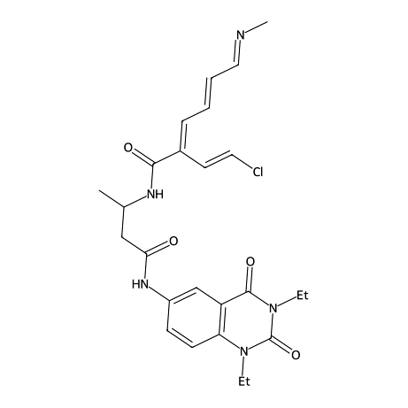 CCn1c(=O)c2cc(NC(=O)CC(C)NC(=O)C(/C=C/Cl)=C/C=C/C=N/C)ccc2n(CC)c1=O